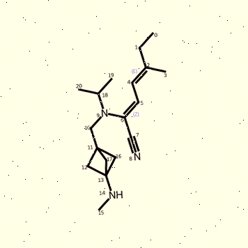 CC/C(C)=C/C=C(/C#N)N(CC12CC(NC)(C1)C2)C(C)C